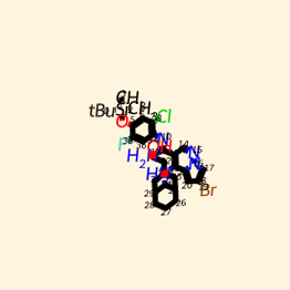 CC(C)(C)[Si](C)(C)Oc1cc(Cl)c(/N=C(\N)c2cnn3cc(Br)cc3c2NC2C3CCCC2CC(CCO)C3)cc1F